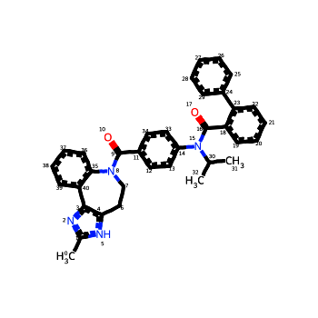 Cc1nc2c([nH]1)CCN(C(=O)c1ccc(N(C(=O)c3ccccc3-c3ccccc3)C(C)C)cc1)c1ccccc1-2